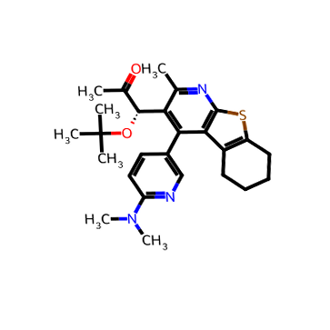 CC(=O)[C@@H](OC(C)(C)C)c1c(C)nc2sc3c(c2c1-c1ccc(N(C)C)nc1)CCCC3